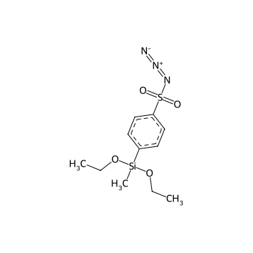 CCO[Si](C)(OCC)c1ccc(S(=O)(=O)N=[N+]=[N-])cc1